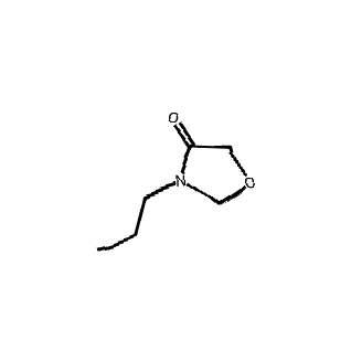 CCCN1COCC1=O